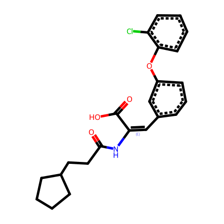 O=C(CCC1CCCC1)N/C(=C/c1cccc(Oc2ccccc2Cl)c1)C(=O)O